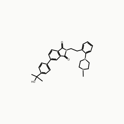 CN1CCN(c2ccccc2CCN2C(=O)c3ccc(-c4ccc(C(C)(C)O)cc4)cc3C2=O)CC1